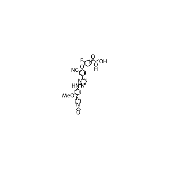 COc1cc(Nc2ncnc(-c3ccc(O[C@H]4CCN(C(=O)[C@H](O)CO)C[C@@H]4F)c(C#N)c3)n2)ccc1N1CCN(C2COC2)CC1